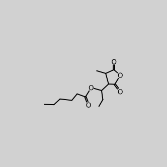 CCCCCC(=O)OC(CC)C1C(=O)OC(=O)C1C